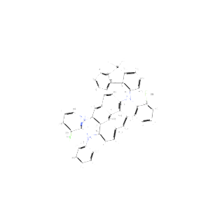 CC1(C)c2ccccc2-c2c(N(c3ccccc3F)c3ccc4ccc5c(N(c6ccccc6)c6ncccc6F)ccc6ccc3c4c65)cccc21